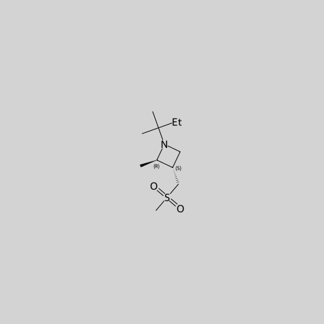 CCC(C)(C)N1C[C@H](CS(C)(=O)=O)[C@H]1C